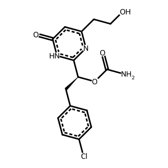 NC(=O)O[C@@H](Cc1ccc(Cl)cc1)c1nc(CCO)cc(=O)[nH]1